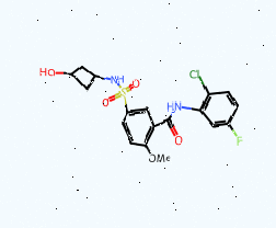 COc1ccc(S(=O)(=O)NC2CC(O)C2)cc1C(=O)Nc1cc(F)ccc1Cl